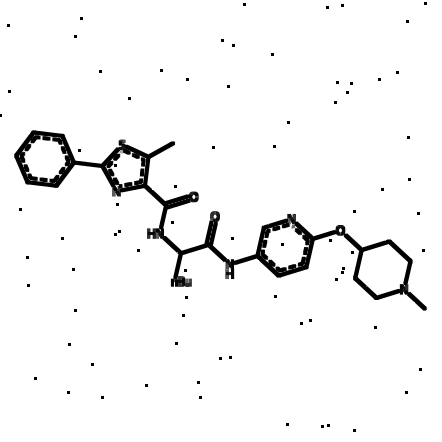 CCCCC(NC(=O)c1nc(-c2ccccc2)sc1C)C(=O)Nc1ccc(OC2CCN(C)CC2)nc1